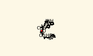 CCCCc1nc(Cl)c(C(=O)OC(C)OC(=O)OCC(C)CCCON(C)N(O)N(C)C(C)(C)C)n1Cc1ccc(-c2ccccc2-c2nnn[nH]2)cc1